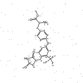 COC(=O)C(N)Cc1ccc(Oc2ccc(CC3OC(=O)NC3=O)c(C(F)(F)F)c2)cc1